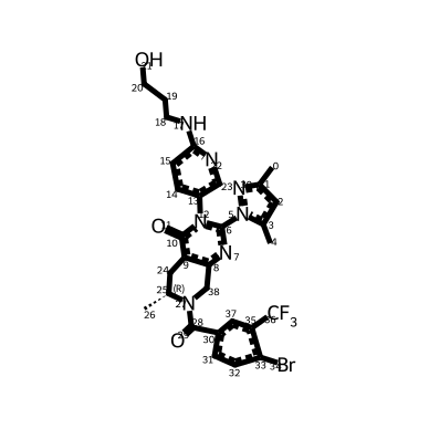 Cc1cc(C)n(-c2nc3c(c(=O)n2-c2ccc(NCCCO)nc2)C[C@@H](C)N(C(=O)c2ccc(Br)c(C(F)(F)F)c2)C3)n1